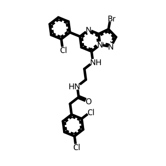 O=C(Cc1ccc(Cl)cc1Cl)NCCNc1cc(-c2ccccc2Cl)nc2c(Br)cnn12